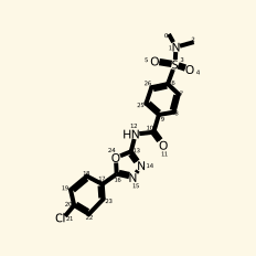 CN(C)S(=O)(=O)c1ccc(C(=O)Nc2nnc(-c3ccc(Cl)cc3)o2)cc1